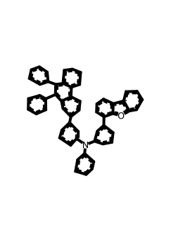 c1ccc(-c2c(-c3ccccc3)c3cc(-c4cccc(N(c5ccccc5)c5cccc(-c6cccc7c6oc6ccccc67)c5)c4)ccc3c3ccccc23)cc1